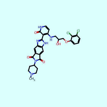 CN1CCC(N2C(=O)c3cc4nc(-c5c(NCC(O)COc6cccc(Cl)c6Cl)cc[nH]c5=O)[nH]c4cc3C2=O)CC1